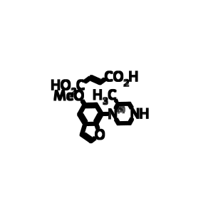 COc1cc(N2CCNC[C@@H]2C)c2occc2c1.O=C(O)C=CC(=O)O